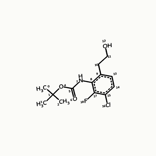 CC(C)(C)OC(=O)Nc1c(CCO)ccc(Cl)c1F